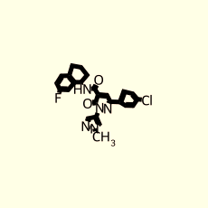 Cn1cc(-n2nc(-c3ccc(Cl)cc3)cc(C(=O)N[C@H]3CCCc4ccc(F)cc43)c2=O)cn1